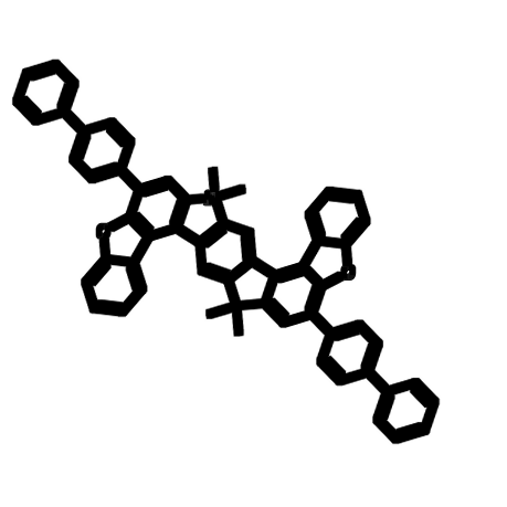 CC1(C)c2cc3c(cc2-c2c1cc(-c1ccc(-c4ccccc4)cc1)c1oc4ccccc4c21)[Si](C)(C)c1cc(-c2ccc(-c4ccccc4)cc2)c2oc4ccccc4c2c1-3